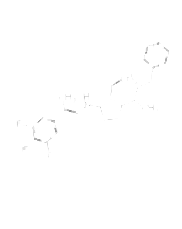 C=CC1C(N/C=C(\C)c2cc(F)c(F)c(F)c2)CCC1C(C)CCc1ccccc1